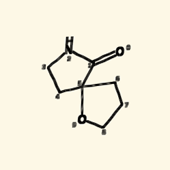 O=C1NCCC12CCCO2